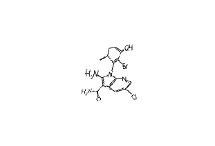 CC1CC=C(O)C(Br)=C1n1c(N)c(C(N)=O)c2cc(Cl)cnc21